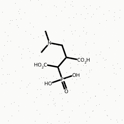 CN(C)CC(C(=O)O)C(C(=O)O)P(=O)(O)O